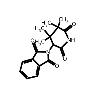 CC1(C)C(=O)NC(=O)C(N2C(=O)c3ccccc3C2=O)C1(C)C